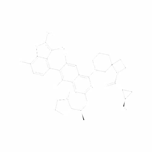 C[C@H](Oc1nc(N2CCCC3(CCN3C(=O)[C@@H]3C[C@H]3C#N)C2)c2cc(Cl)c(-c3ccc(F)c4sc(N)c(C#N)c34)c(F)c2n1)[C@@H]1CCCN1C